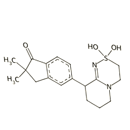 CC1(C)Cc2cc(C3CCCN4CCS(O)(O)N=C34)ccc2C1=O